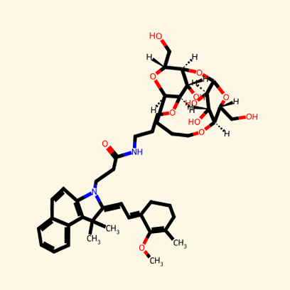 COC1=C(C)CCC/C1=C\C=C1\N(CCC(=O)NCCCO[C@@H]2[C@@H](O)[C@@H]3OC4O[C@H](CO)[C@@H](OCCC[C@H]2O[C@@H]3CO)[C@H](O)[C@H]4O)c2ccc3ccccc3c2C1(C)C